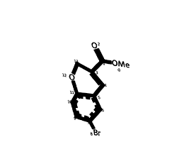 COC(=O)C1=Cc2cc(Br)ccc2OC1